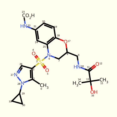 Cc1c(S(=O)(=O)N2CC(CNC(=O)C(C)(C)O)Oc3ccc(NC(=O)O)cc32)cnn1C1CC1